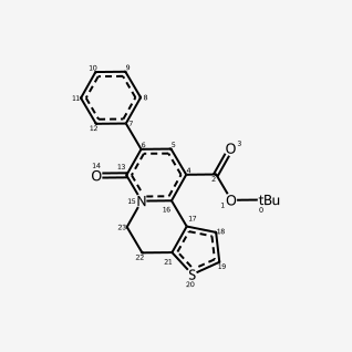 CC(C)(C)OC(=O)c1cc(-c2ccccc2)c(=O)n2c1-c1ccsc1CC2